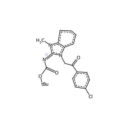 Cn1/c(=N/C(=O)OC(C)(C)C)n(CC(=O)c2ccc(Cl)cc2)c2ccccc21